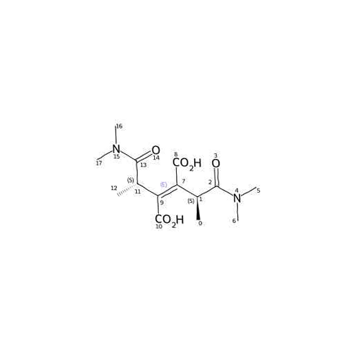 C[C@H](C(=O)N(C)C)/C(C(=O)O)=C(\C(=O)O)[C@H](C)C(=O)N(C)C